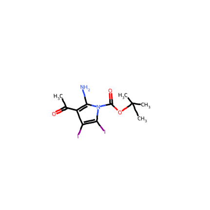 CC(=O)c1c(I)c(I)n(C(=O)OC(C)(C)C)c1N